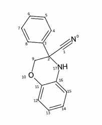 N#CC1(c2ccccc2)COc2ccccc2N1